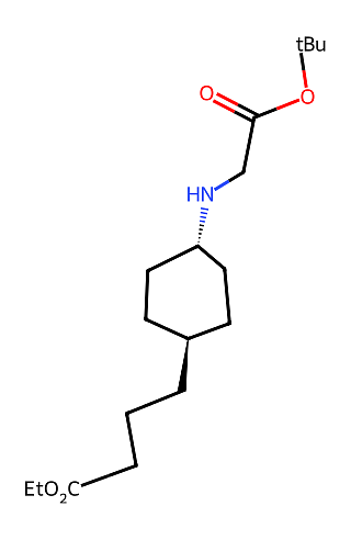 CCOC(=O)CCC[C@H]1CC[C@H](NCC(=O)OC(C)(C)C)CC1